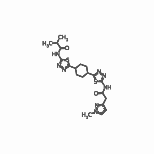 CC(C)C(=O)Nc1nnc(C2CCC(c3nnc(NC(=O)Cc4ccn(C)n4)s3)CC2)s1